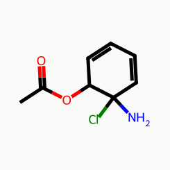 CC(=O)OC1C=CC=CC1(N)Cl